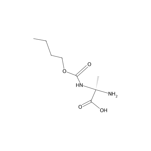 CCCCOC(=O)N[C@@](C)(N)C(=O)O